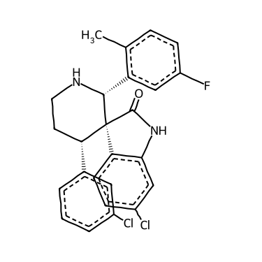 Cc1ccc(F)cc1[C@H]1NCC[C@@H](c2cccc(Cl)c2)[C@]12C(=O)Nc1cc(Cl)ccc12